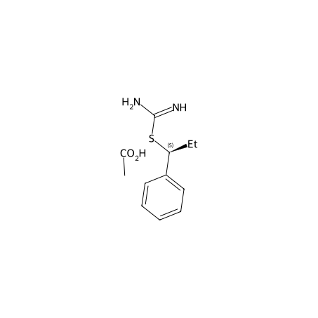 CC(=O)O.CC[C@H](SC(=N)N)c1ccccc1